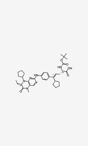 CC[C@@H]1C(=O)N(C)c2cnc(Nc3ccc(/C(=C/C[C@H](NC(=O)OC(C)(C)C)C(=O)O)C4CCCC4)cc3)nc2N1C1CCCC1